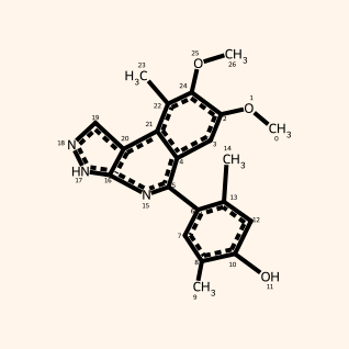 COc1cc2c(-c3cc(C)c(O)cc3C)nc3[nH]ncc3c2c(C)c1OC